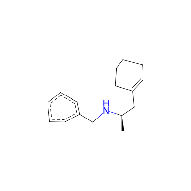 C[C@H](CC1=CCCCC1)NCc1ccccc1